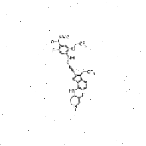 CNC(=O)c1cc(OCC(F)(F)F)c(NCC#Cc2sc3c(NC4CCN(C)CC4F)cccc3c2CC(F)(F)F)cc1F